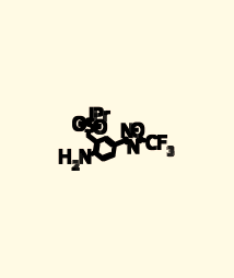 CC(C)S(=O)(=O)Cc1cc(-c2noc(C(F)(F)F)n2)ccc1N